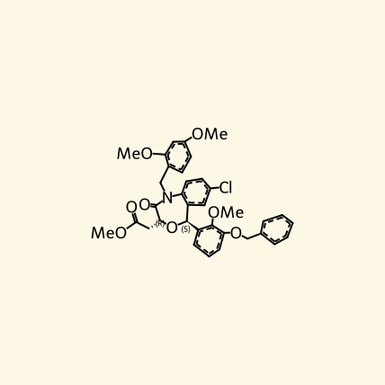 COC(=O)C[C@H]1O[C@H](c2cccc(OCc3ccccc3)c2OC)c2cc(Cl)ccc2N(Cc2ccc(OC)cc2OC)C1=O